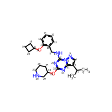 CC(C)c1cnn2c(NCc3ccccc3OC3CCC3)nc(OC3CCCNC3)nc12